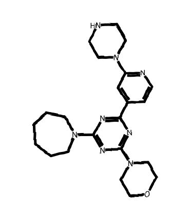 c1cc(-c2nc(N3CCCCCC3)nc(N3CCOCC3)n2)cc(N2CCNCC2)n1